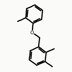 Cc1ccccc1OCc1[c]ccc(C)c1C